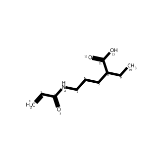 C=CC(=O)NCCCC(CC)C(=O)O